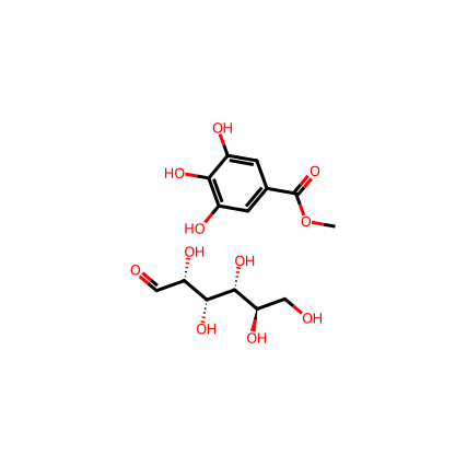 COC(=O)c1cc(O)c(O)c(O)c1.O=C[C@H](O)[C@@H](O)[C@H](O)[C@H](O)CO